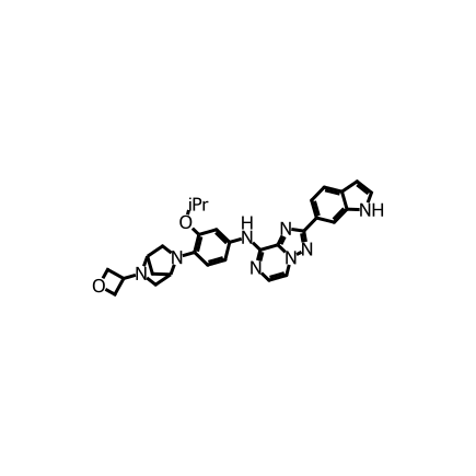 CC(C)Oc1cc(Nc2nccn3nc(-c4ccc5cc[nH]c5c4)nc23)ccc1N1CC2CC1CN2C1COC1